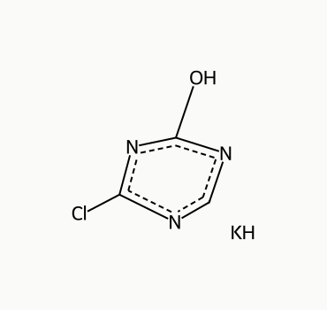 Oc1ncnc(Cl)n1.[KH]